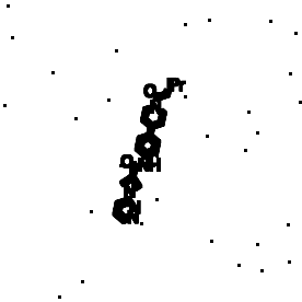 CC(C)CC(=O)N1CCC(c2ccc(NC(=O)C3CN(c4cccnn4)C3)cc2)CC1